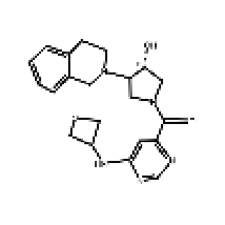 O=C(c1cc(NC2COC2)ncn1)N1CC(N2CCc3ccccc3C2)[C@H](O)C1